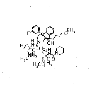 CNCC(C)(C)NC(=O)N1CCCCC1.CNCC(C)(C)NC(=O)N1CCC[C@@H]([C@@](O)(CCCCOC)c2ccccc2Oc2cccc(F)c2)C1